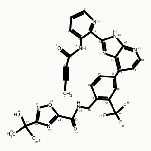 CC#CC(=O)Nc1cccnc1-c1nc2c(-c3ccc(CNC(=O)c4nc(C(C)(C)C)no4)c(C(F)(F)F)c3)ccnc2[nH]1